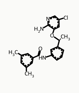 Cc1cc(C)cc(C(=O)Nc2cccc([C@@H](C)Oc3cc(Cl)cnc3N)c2)c1